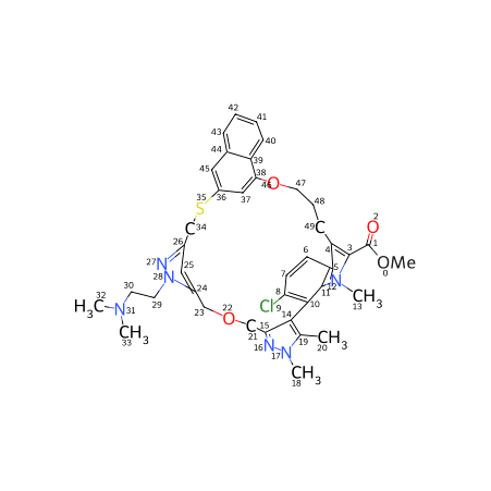 COC(=O)c1c2c3ccc(Cl)c(c3n1C)-c1c(nn(C)c1C)COCc1cc(nn1CCN(C)C)CSc1cc(c3ccccc3c1)OCCC2